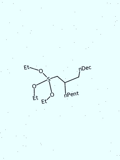 CCCCCCCCCCCC(CCCCC)CS(OCC)(OCC)OCC